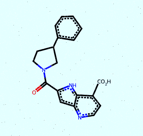 O=C(O)c1ccnc2cc(C(=O)N3CCC(c4ccccc4)C3)[nH]c12